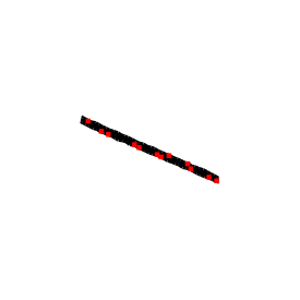 C1CC2C1C1C2C2C1C1C2C2C1C1C2C2C1C1C2C2C1C1C2C2C1C1C2C2C1C1C2C2C1C1C2C2C1C1C3C4C5C6C7C8C9C%10C%11C%12C%13C%14C%15C%16C%17C%18C%19CCC%19C%18C%17C%16C%15C%14C%13C%12C%11C%10C9C8C7C6C5C4C3C21